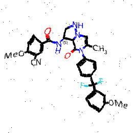 COc1cccc(C(F)(F)c2ccc(N3C(=O)C4[C@@H](NC(=O)c5ccc(OC)c(C#N)c5)CNN4C=C3C)cc2)c1